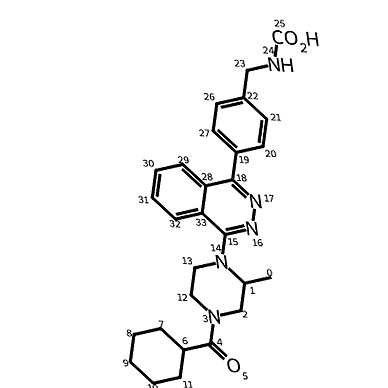 CC1CN(C(=O)C2CCCCC2)CCN1c1nnc(-c2ccc(CNC(=O)O)cc2)c2ccccc12